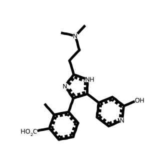 Cc1c(C(=O)O)cccc1-c1nc(CCN(C)C)[nH]c1-c1ccnc(O)c1